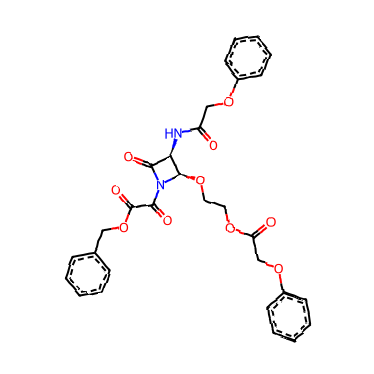 O=C(COc1ccccc1)N[C@@H]1C(=O)N(C(=O)C(=O)OCc2ccccc2)[C@@H]1OCCOC(=O)COc1ccccc1